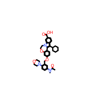 CC(=O)N(C)c1ccc(N2CCOCC2)c(COc2ccc3c(c2)OCCn2c-3c(C3CCCCC3)c3ccc(C(=O)O)cc32)c1